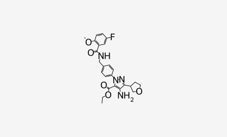 CCOC(=O)c1c(N)c(C2CCOC2)nn1-c1ccc(CNC(=O)c2cc(F)ccc2OC)cc1